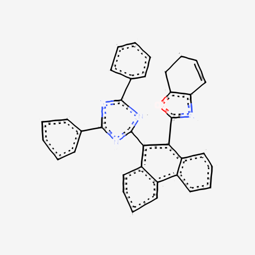 C1=Cc2nc(-c3c(-c4nc(-c5ccccc5)nc(-c5ccccc5)n4)c4ccccc4c4ccccc34)oc2CC1